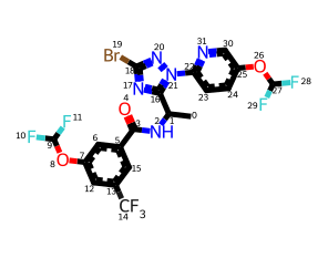 CC(NC(=O)c1cc(OC(F)F)cc(C(F)(F)F)c1)c1nc(Br)nn1-c1ccc(OC(F)F)cn1